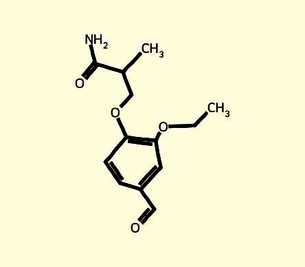 CCOc1cc(C=O)ccc1OCC(C)C(N)=O